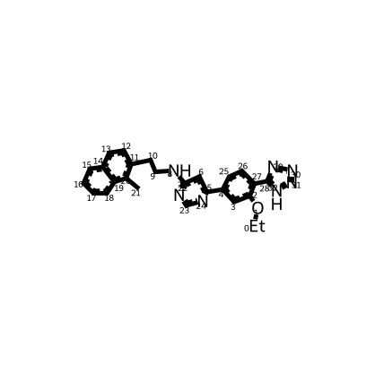 CCOc1cc(-c2cc(NCCc3ccc4ccccc4c3C)ncn2)ccc1-c1nnn[nH]1